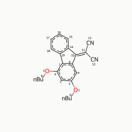 CCCCOc1cc(OCCCC)c2c(c1)C(=C(C#N)C#N)c1ccccc1-2